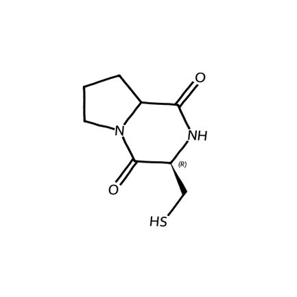 O=C1N[C@@H](CS)C(=O)N2CCCC12